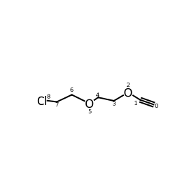 C#COCCOCCCl